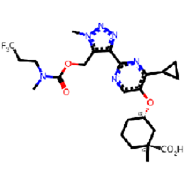 CN(CCC(F)(F)F)C(=O)OCc1c(-c2ncc(O[C@H]3CCC[C@](C)(C(=O)O)C3)c(C3CC3)n2)nnn1C